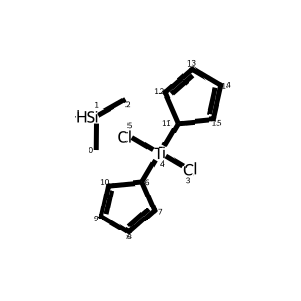 C[SiH]C.[Cl][Ti]([Cl])([CH]1C=CC=C1)[CH]1C=CC=C1